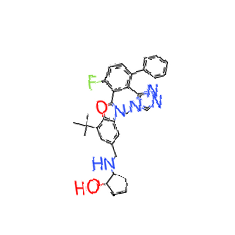 Cn1cnnc1-c1c(-c2ccccc2)ccc(F)c1-c1nc2cc(CNC3CCCC3O)cc(C(C)(C)C)c2o1